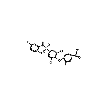 O=[N+]([O-])c1ccc(Oc2c(Cl)cc(S(=O)(=O)Nc3cc(F)ccc3F)cc2Cl)c(Cl)c1